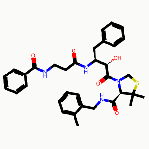 Cc1ccccc1CNC(=O)[C@H]1N(C(=O)[C@@H](O)[C@H](Cc2ccccc2)NC(=O)CCNC(=O)c2ccccc2)CSC1(C)C